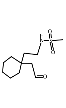 CS(=O)(=O)NCCC1(CC=O)CCCCC1